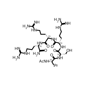 CC(=O)N[C@H](C(=O)N[C@@H](CO)C(=O)N[C@@H](CCCNC(=N)N)C(=O)N[C@@H](CCCNC(=N)N)C(=O)N[C@@H](CCCNC(=N)N)C(N)=O)C(C)C